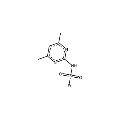 CCS(=O)(=O)Nc1nc(C)cc(C)n1